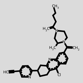 C#Cc1ccc(C2CCc3c(nc4cc(C(=C)N5CCN(C(=C)CCCC)CC5C)ccc4c3Cl)C2)nc1